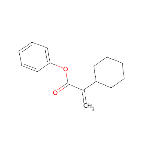 C=C(C(=O)Oc1ccccc1)C1CCCCC1